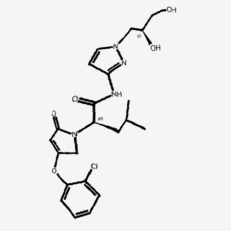 CC(C)C[C@H](C(=O)Nc1ccn(C[C@H](O)CO)n1)N1CC(Oc2ccccc2Cl)=CC1=O